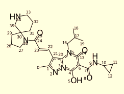 Cc1nn2c(O)c(C(=O)NC3CC3)c(=O)n(CC(C)C)c2c1C=CC(=O)N1CCCC12CCCNC2